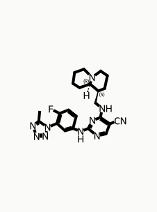 Cc1nnnn1-c1cc(Nc2ncc(C#N)c(NC[C@@H]3CCCN4CCCC[C@H]34)n2)ccc1F